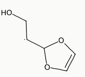 OC[CH]C1OC=CO1